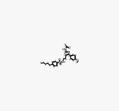 CCCCCc1ccc(S(=O)(=O)NCCc2sc(NC(C)=O)nc2-c2ccc(OC)cc2)cc1